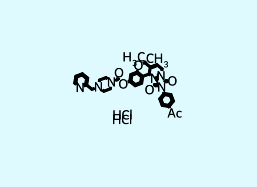 CC(=O)c1ccc(-n2c(=O)n3n(c2=O)C2C(=CC3)C(C)(C)Oc3cc(OC(=O)N4CCN(Cc5ccccn5)CC4)ccc32)cc1.Cl.Cl